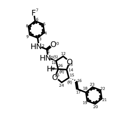 O=C(Nc1ccc(F)cc1)N[C@H]1COC2[C@H](C=Cc3ccccc3)CO[C@@H]21